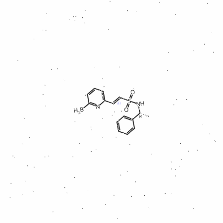 Bc1cccc(/C=C/S(=O)(=O)N[C@H](C)c2ccccc2)n1